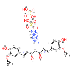 COc1cc(/C=C/C(=O)CC(=O)/C=C/c2ccc(O)c(OC)c2)ccc1O.N.N.N.N.O=S(=O)(O)O.O=S(=O)(O)O